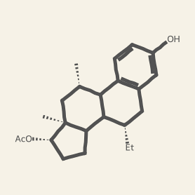 CC[C@H]1Cc2cc(O)ccc2C2C1C1CC[C@H](OC(C)=O)[C@@]1(C)C[C@@H]2C